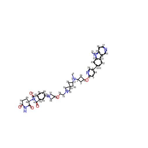 CN(C1CC(Oc2ccc(-c3ccc4c5cnccc5n(C)c4c3)cn2)C1)C1CC2(C1)CN(CCOC1CN(c3ccc4c(c3)C(=O)N(C3CCC(=O)NC3=O)C4=O)C1)C2